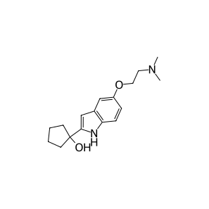 CN(C)CCOc1ccc2[nH]c(C3(O)CCCC3)cc2c1